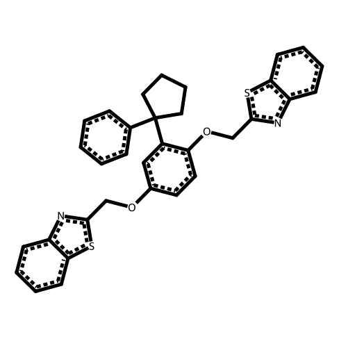 c1ccc(C2(c3cc(OCc4nc5ccccc5s4)ccc3OCc3nc4ccccc4s3)CCCC2)cc1